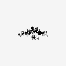 CN(C)C(=O)C(Cc1ccc(C(=N)N)cc1)C(=O)NC(C(=O)N[C@@H](CCCNC(=N)N)C(N)=O)C(C)(C)C.O=C(O)C(F)(F)F